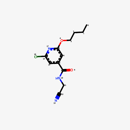 CCCCOc1cc(C(=O)NCC#N)cc(Cl)n1